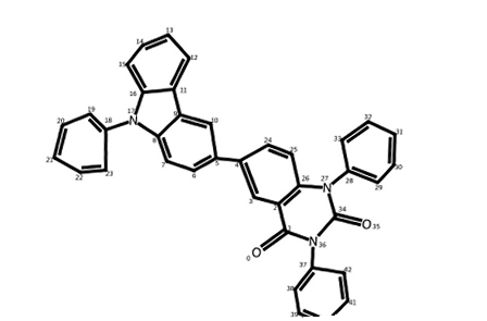 O=c1c2cc(-c3ccc4c(c3)c3ccccc3n4-c3ccccc3)ccc2n(-c2ccccc2)c(=O)n1-c1ccccc1